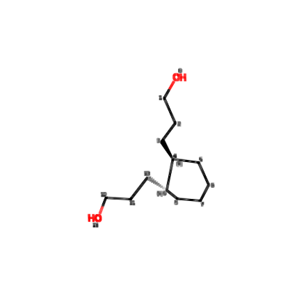 OCCC[C@H]1CCCC[C@@H]1CCCO